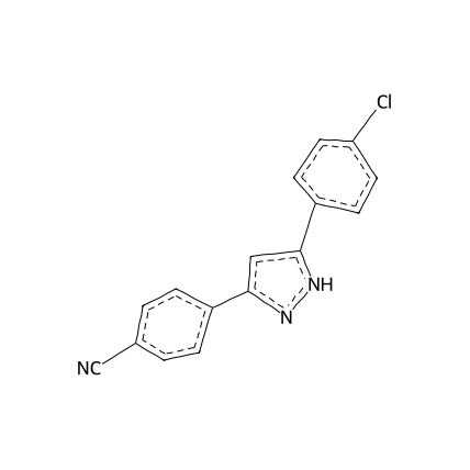 N#Cc1ccc(-c2cc(-c3ccc(Cl)cc3)[nH]n2)cc1